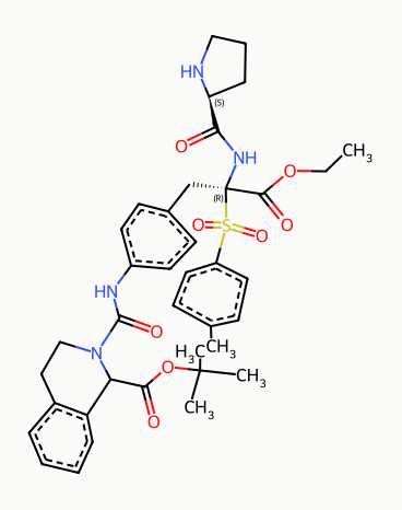 CCOC(=O)[C@](Cc1ccc(NC(=O)N2CCc3ccccc3C2C(=O)OC(C)(C)C)cc1)(NC(=O)[C@@H]1CCCN1)S(=O)(=O)c1ccc(C)cc1